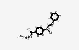 CCCCCOC(=O)c1ccc(N(C=Nc2ccccc2)CC)cc1